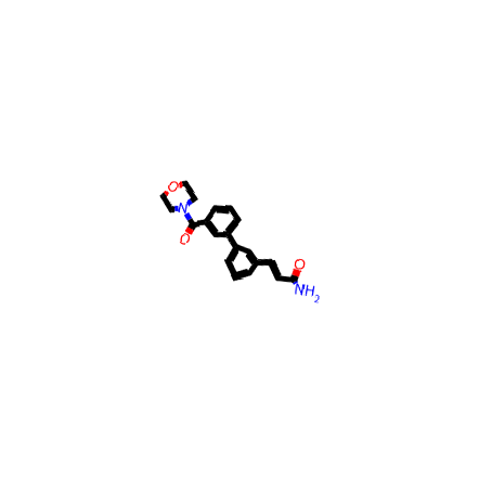 NC(=O)C=Cc1cccc(-c2cccc(C(=O)N3CCOCC3)c2)c1